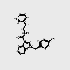 N#Cc1ccc(Cn2cc(C(=O)NCCc3cccnc3)c3ccccc32)cc1